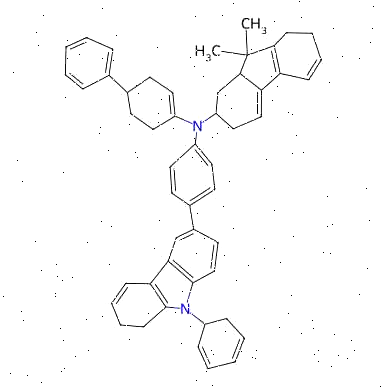 CC1(C)C2=C(C=CCC2)C2=CCC(N(C3=CCC(c4ccccc4)CC3)c3ccc(-c4ccc5c(c4)c4c(n5C5C=CC=CC5)CCC=C4)cc3)CC21